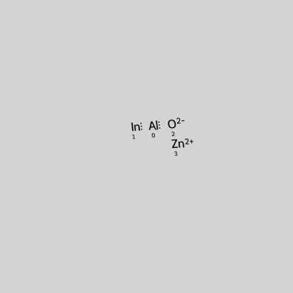 [Al].[In].[O-2].[Zn+2]